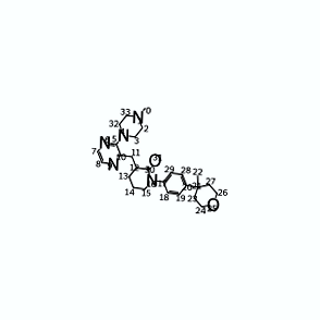 CN1CCN(c2nccnc2CC2CCCN(c3ccc(C4(C)CCOCC4)cc3)C2=O)CC1